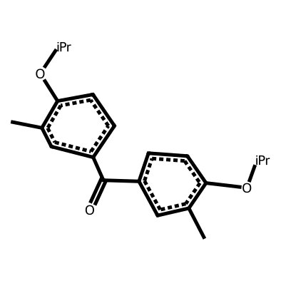 Cc1cc(C(=O)c2ccc(OC(C)C)c(C)c2)ccc1OC(C)C